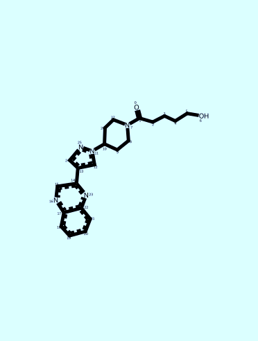 O=C(CCCCO)N1CCC(n2cc(-c3cnc4ccccc4n3)cn2)CC1